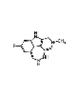 CN1C=C2NNC=C3C=C(F)C=C4NC(=C2C34)C1